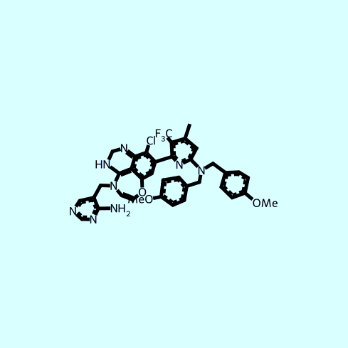 COc1ccc(CN(Cc2ccc(OC)cc2)c2cc(C)c(C(F)(F)F)c(-c3cc4c5c(c3Cl)=NCNC=5N(Cc3cncnc3N)C=CO4)n2)cc1